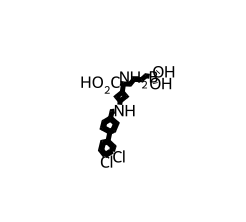 NC(CCCCB(O)O)(C(=O)O)C1CC(NCc2ccc(-c3ccc(Cl)c(Cl)c3)cc2)C1